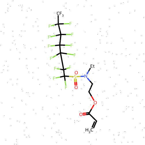 C=CC(=O)OCCN(CC)S(=O)(=O)C(F)(F)C(F)(F)C(F)(F)C(F)(F)C(F)(F)C(F)(F)C(F)(F)F